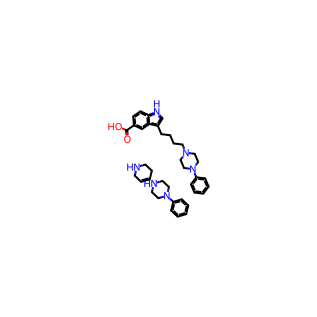 C1=CCNCC1.O=C(O)c1ccc2[nH]cc(CCCCN3CCN(c4ccccc4)CC3)c2c1.c1ccc(N2CCNCC2)cc1